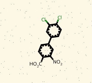 O=C(O)c1ccc(-c2ccc(Cl)c(Cl)c2)cc1[N+](=O)[O-]